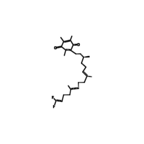 CC1=C(C)C(=O)C(CC[C@@H](C)CC/C=C(\C)CC/C=C(\C)CCC=C(F)F)=C(C)C1=O